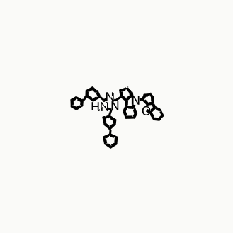 c1ccc(-c2ccc(C3=NC(c4cccc5c4c4ccccc4n5-c4cccc5c4oc4ccccc45)=NC(c4cccc(-c5ccccc5)c4)N3)cc2)cc1